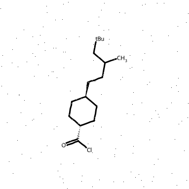 CC(CC[C@H]1CC[C@H](C(=O)Cl)CC1)CC(C)(C)C